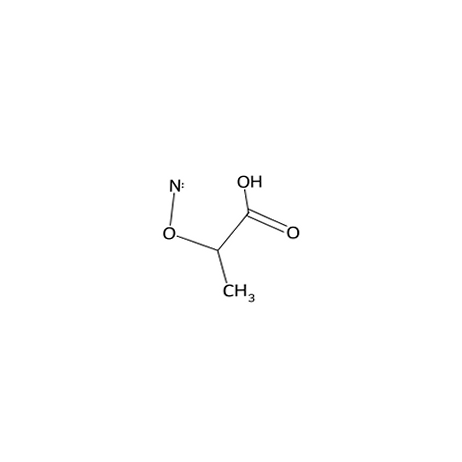 CC(O[N])C(=O)O